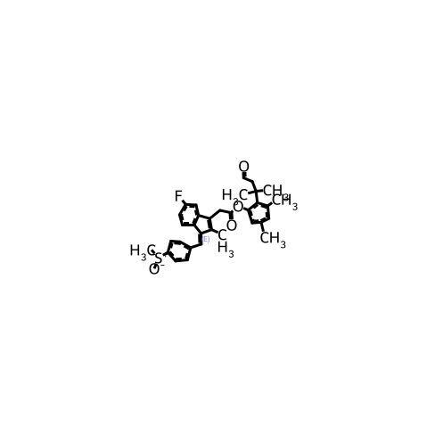 CC1=C(CC(=O)Oc2cc(C)cc(C)c2C(C)(C)CC=O)c2cc(F)ccc2/C1=C\c1ccc([S+](C)[O-])cc1